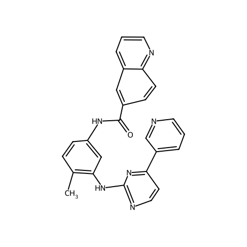 Cc1ccc(NC(=O)c2ccc3ncccc3c2)cc1Nc1nccc(-c2cccnc2)n1